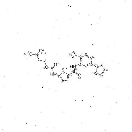 CN(C)CCOC(=O)Nc1ccc(C(=O)Nc2cc(-c3cccs3)ccc2N)s1